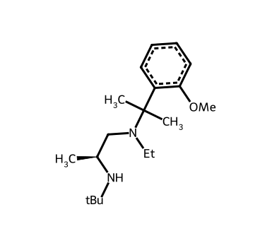 CCN(C[C@H](C)NC(C)(C)C)C(C)(C)c1ccccc1OC